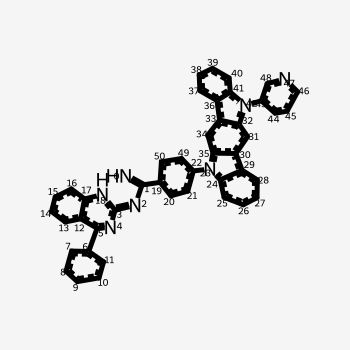 N=C(/N=c1/nc(-c2ccccc2)c2ccccc2[nH]1)c1ccc(-n2c3ccccc3c3cc4c(cc32)c2ccccc2n4-c2cccnc2)cc1